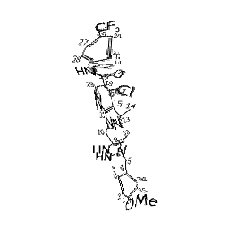 COc1ccc(CN2NNC(Cn3nc(C)c4c(Cl)c(C(=O)Nc5ccc(C(F)(F)F)cc5)cnc43)=C2C)cc1